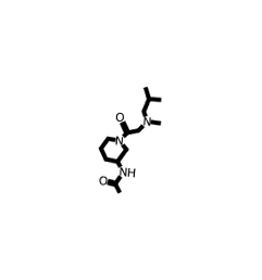 CC(=O)NC1CCCN(C(=O)CN(C)CC(C)C)C1